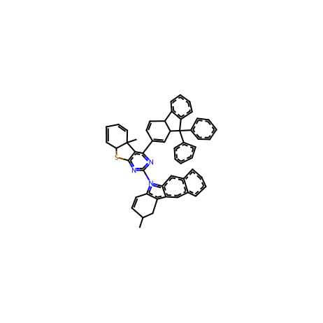 CC1C=Cc2c(c3cc4ccccc4cc3n2-c2nc3c(c(C4=CC5C(C=C4)c4ccccc4C5(c4ccccc4)c4ccccc4)n2)C2(C)C=CC=CC2S3)C1